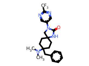 CN(C)C1(Cc2ccccc2)CCC2(CC1)CN(c1cnc(C(F)(F)F)nc1)C(=O)N2